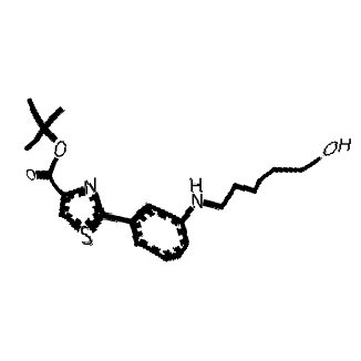 CC(C)(C)OC(=O)c1csc(-c2cccc(NCCCCCO)c2)n1